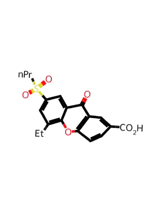 CCCS(=O)(=O)c1cc(CC)c2oc3ccc(C(=O)O)cc3c(=O)c2c1